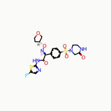 O=C1CN(S(=O)(=O)c2ccc(/C(=N\O[C@@H]3CCOC3)C(=O)Nc3ncc(F)s3)cc2)CCN1